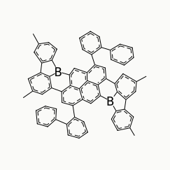 Cc1ccc2c(c1)-c1cc(C)cc3c1B2c1cc2c(-c4ccccc4-c4ccccc4)cc4c5c(cc6c(-c7ccccc7-c7ccccc7)cc-3c1c6c25)B1c2ccc(C)cc2-c2cc(C)cc-4c21